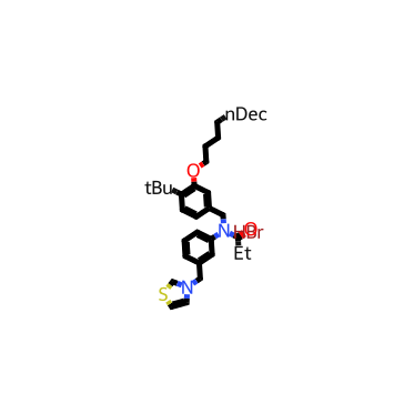 Br.CCCCCCCCCCCCCCOc1cc(CN(C(=O)CC)c2cccc(CN3C=CSC3)c2)ccc1C(C)(C)C